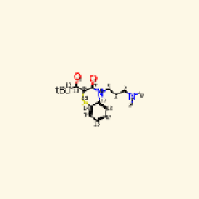 CN(C)CCCN1C(=O)C(C(=O)C(C)(C)C)Sc2ccccc21